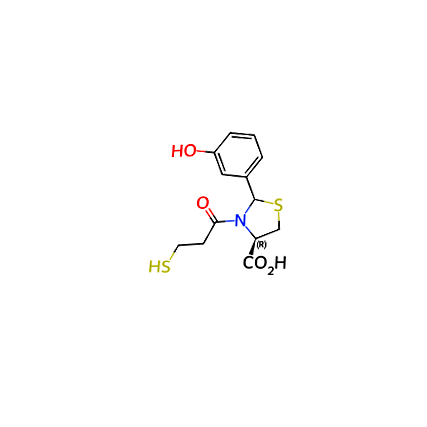 O=C(O)[C@@H]1CSC(c2cccc(O)c2)N1C(=O)CCS